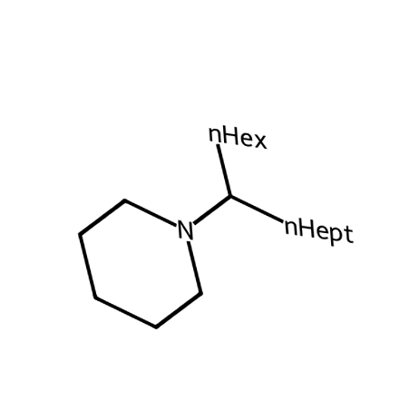 CCCCCCCC(CCCCCC)N1CCCCC1